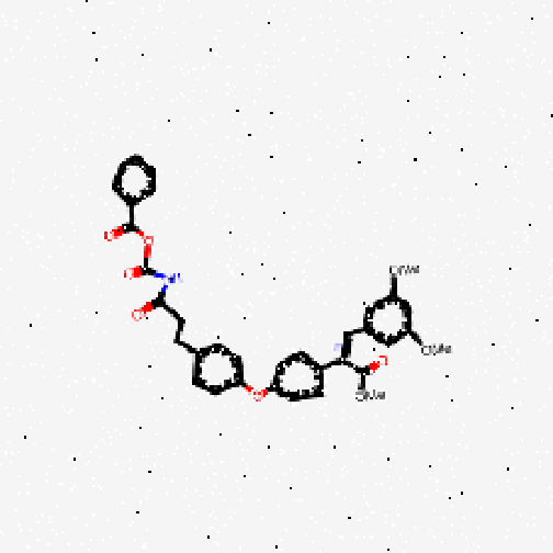 COC(=O)/C(=C\c1cc(OC)cc(OC)c1)c1ccc(Oc2ccc(CCC(=O)NC(=O)OC(=O)c3ccccc3)cc2)cc1